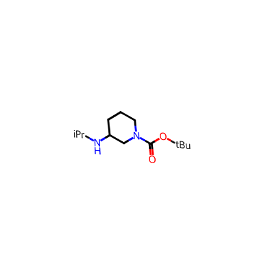 CC(C)NC1CCCN(C(=O)OC(C)(C)C)C1